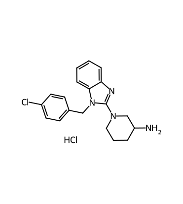 Cl.NC1CCCN(c2nc3ccccc3n2Cc2ccc(Cl)cc2)C1